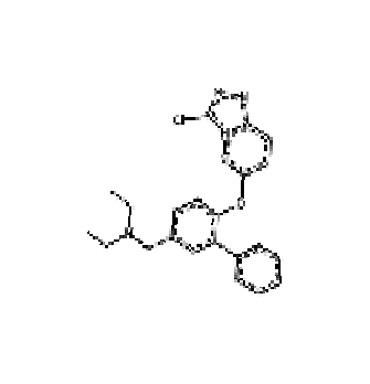 CCN(CC)Cc1ccc(Oc2ccc3nnc(Cl)n3n2)c(-c2ccccc2)c1